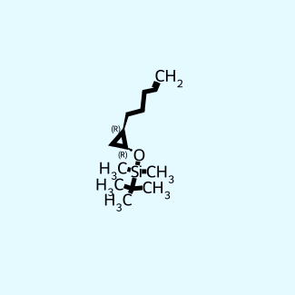 C=CCCC[C@@H]1C[C@H]1O[Si](C)(C)C(C)(C)C